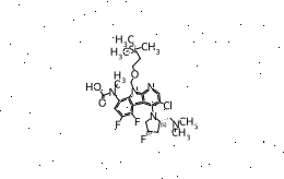 CN(C)C[C@@H]1C[C@H](F)CN1c1c(Cl)cnc2c1c1c(F)c(F)cc(N(C)C(=O)O)c1n2COCC[Si](C)(C)C